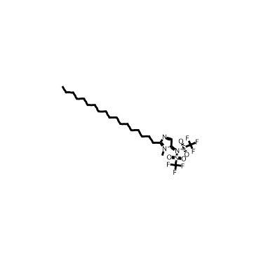 CCCCCCCCCCCCCCCCCCC1=[N+](C)C(=[N+](S(=O)(=O)C(F)(F)F)S(=O)(=O)C(F)(F)F)C=N1